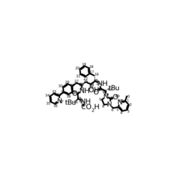 Cc1cccc(CN2CCN([C@H](C(=O)N[C@@H](Cc3ccccc3)[C@H](O)C[C@H](Cc3ccc(-c4ccccn4)cc3)NC(=O)[C@@H](NC(=O)O)C(C)(C)C)C(C)(C)C)C2=O)n1